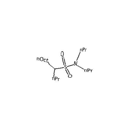 CCCCCCCCC(CCC)S(=O)(=O)N(CCC)CCC